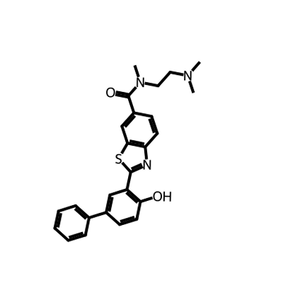 CN(C)CCN(C)C(=O)c1ccc2nc(-c3cc(-c4ccccc4)ccc3O)sc2c1